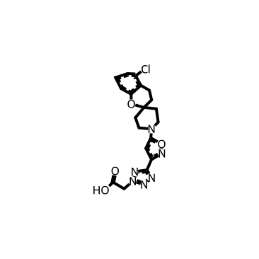 O=C(O)Cn1nnc(-c2cc(N3CCC4(CCc5c(Cl)cccc5O4)CC3)on2)n1